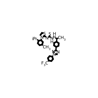 Cc1ccc(C(C)C)c(-n2ccs/c2=N\C(=S)NNC(C)c2ccc(-c3ncn(-c4ccc(C(F)(F)F)cc4)n3)cc2)c1